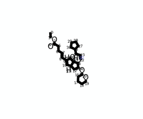 CCOC(=O)CCC=CC1=C[C@H]2C[C@@H](OC3CCCCO3)[C@@H](/C=C\C(O)C3CCCC3)[C@H]2C1